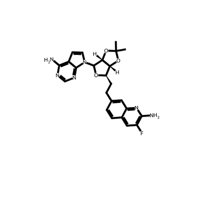 CC1(C)O[C@@H]2[C@@H](CCc3ccc4cc(F)c(N)nc4c3)OC(n3ccc4c(N)ncnc43)[C@@H]2O1